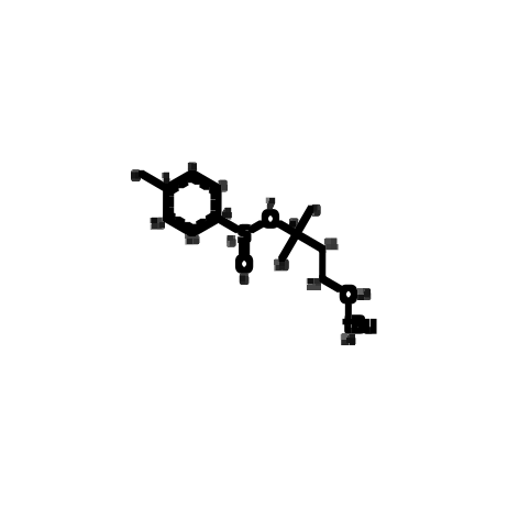 Cc1ccc(S(=O)OC(C)(C)CCOC(C)(C)C)cc1